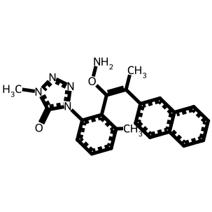 C/C(=C(\ON)c1c(C)cccc1-n1nnn(C)c1=O)c1ccc2ccccc2c1